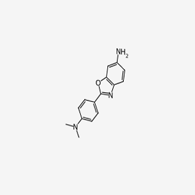 CN(C)c1ccc(-c2nc3ccc(N)cc3o2)cc1